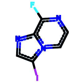 Fc1nccn2c(I)cnc12